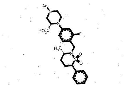 CC(=O)N1CCN(c2ccc(CN3[C@@H](C)CCC(c4ccccc4)S3(=O)=O)c(F)c2)[C@@H](C(=O)O)C1